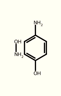 NO.Nc1ccc(O)cc1